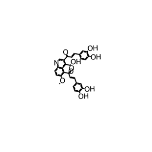 COc1ccc2ncc(C(=O)C=Cc3ccc(O)c(O)c3)c(C(=O)O)c2c1C(=O)C=Cc1ccc(O)c(O)c1